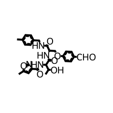 Cc1ccc(CNC(=O)C(COc2ccc(C=O)cc2)NC(=O)C(NC(=O)c2cc(C)on2)C(C)O)cc1